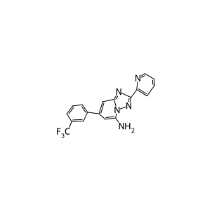 Nc1cc(-c2cccc(C(F)(F)F)c2)cc2nc(-c3ccccn3)nn12